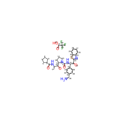 CC(NC(=O)C1CCCC1)C(=O)C1CCCN1C(=O)NC(C(=O)c1nc2ccccc2s1)c1ccc(CN)cc1.O=C(O)C(F)(F)F